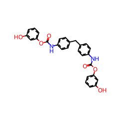 O=C(Nc1ccc(Cc2ccc(NC(=O)Oc3cccc(O)c3)cc2)cc1)Oc1cccc(O)c1